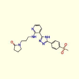 CS(=O)(=O)c1ccc(-c2nnc(-c3cccnc3NCCCN3CCCC3=O)[nH]2)cc1